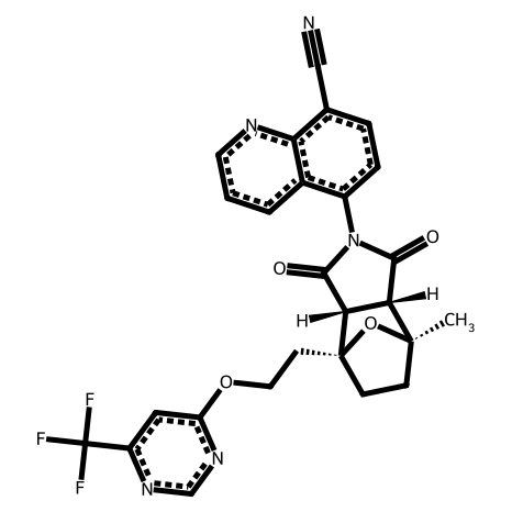 C[C@]12CC[C@](CCOc3cc(C(F)(F)F)ncn3)(O1)[C@@H]1C(=O)N(c3ccc(C#N)c4ncccc34)C(=O)[C@@H]12